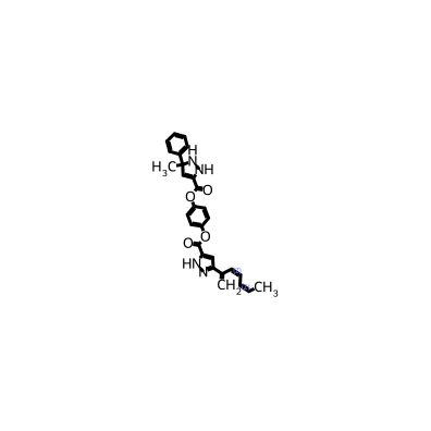 C=C(/C=C\C=C/C)c1cc(C(=O)Oc2ccc(OC(=O)C3=CC(C)(c4ccccc4)NN3)cc2)[nH]n1